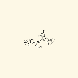 CC1(Nc2cc(C(=O)N3CC(c4nn(CC(=O)N5CCC[C@H]5C(F)(F)F)c5cc(F)cc(F)c45)C3)ccn2)CC1.Cl